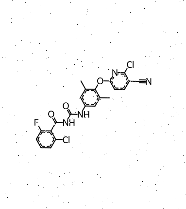 Cc1cc(NC(=O)NC(=O)c2c(F)cccc2Cl)cc(C)c1Oc1ccc(C#N)c(Cl)n1